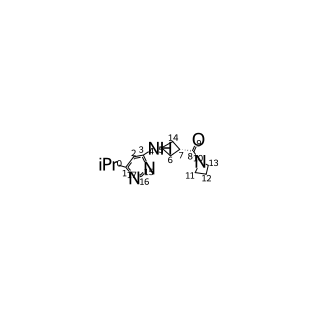 CC(C)c1cc(N[C@H]2C[C@@H](C(=O)N3CCC3)C2)ncn1